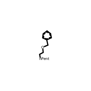 [CH2]CCCCCCOCc1ccccc1